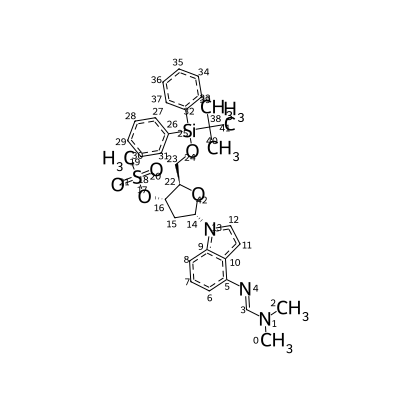 CN(C)C=Nc1cccc2c1ccn2[C@@H]1C[C@H](OS(C)(=O)=O)[C@@H](CO[Si](c2ccccc2)(c2ccccc2)C(C)(C)C)O1